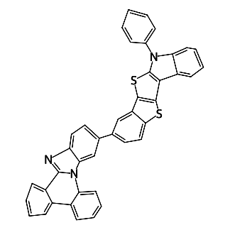 c1ccc(-n2c3ccccc3c3c4sc5ccc(-c6ccc7nc8c9ccccc9c9ccccc9n8c7c6)cc5c4sc32)cc1